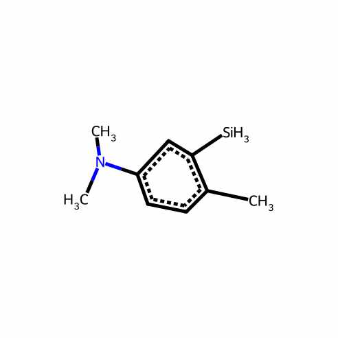 Cc1ccc(N(C)C)cc1[SiH3]